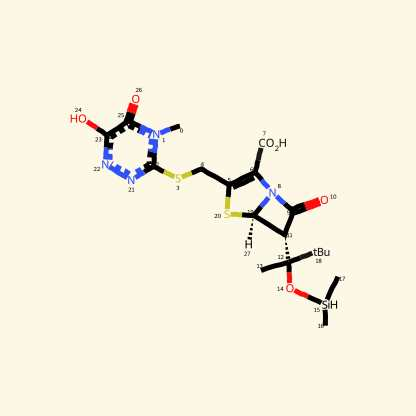 Cn1c(SCC2=C(C(=O)O)N3C(=O)[C@H](C(C)(O[SiH](C)C)C(C)(C)C)[C@H]3S2)nnc(O)c1=O